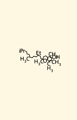 CCC(CCCC(C)CCCC(C)C)CCC1(C)CCc2c(C)c(O)c(C)c(C)c2O1